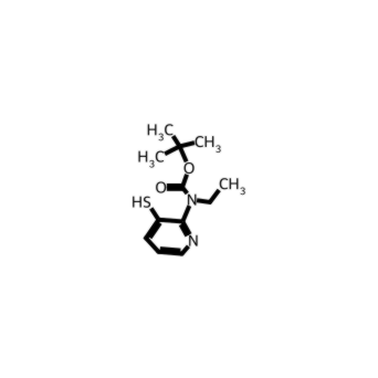 CCN(C(=O)OC(C)(C)C)c1ncccc1S